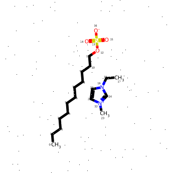 CCCCCCCCCCCCOS(=O)(=O)[O-].CCn1cc[n+](C)c1